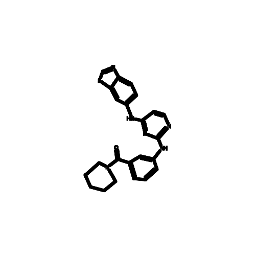 O=C(c1cccc(Nc2nccc(Nc3ccc4ncsc4c3)n2)c1)N1CCCCC1